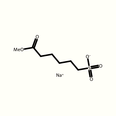 COC(=O)CCCCCS(=O)(=O)[O-].[Na+]